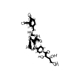 O=C([C@@H](O)[C@H](O)CO)N1CCC(n2ncc3nc(NCc4ccc(Cl)c(Cl)c4)[nH]c(=O)c32)CC1